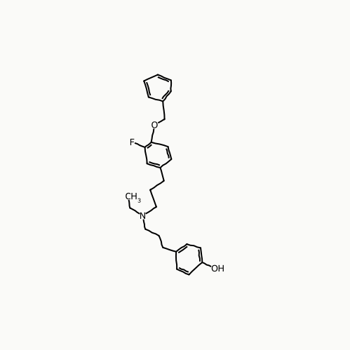 CCN(CCCc1ccc(O)cc1)CCCc1ccc(OCc2ccccc2)c(F)c1